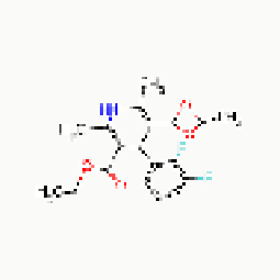 CCOC(=O)C1=C(C)NC(C)=C(C2OC(C)O2)C1c1cccc(F)c1F